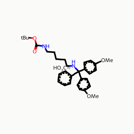 COc1ccc(C(N[C@@H](CCCCNC(=O)OC(C)(C)C)C(=O)O)(c2ccccc2)c2ccc(OC)cc2)cc1